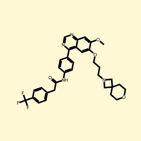 COc1cc2ncnc(-c3ccc(NC(=O)Cc4ccc(C(F)(F)F)cc4)cc3)c2cc1OCCCN1CC2(CCOCC2)C1